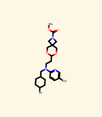 CC(C)C1CCC(CN(CCC2OCC3(CO2)CN(C(=O)OC(C)(C)C)C3)c2ccc(C#N)cn2)CC1